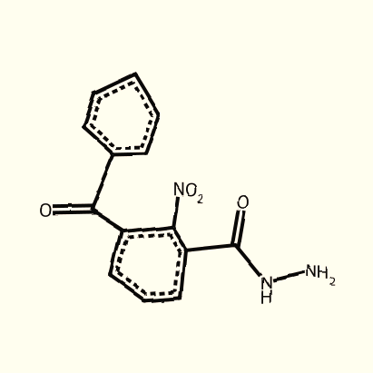 NNC(=O)c1cccc(C(=O)c2ccccc2)c1[N+](=O)[O-]